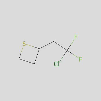 FC(F)(Cl)CC1CCS1